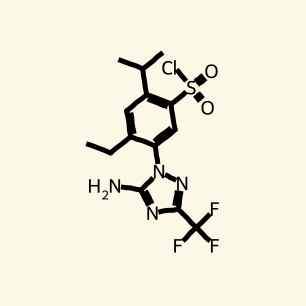 CCc1cc(C(C)C)c(S(=O)(=O)Cl)cc1-n1nc(C(F)(F)F)nc1N